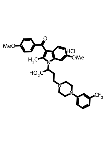 COc1ccc(C(=O)c2c(C)n(C(CCN3CCN(c4cccc(C(F)(F)F)c4)CC3)C(=O)O)c3cc(OC)ccc23)cc1.Cl